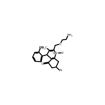 CCOC(=O)C1=C(COCCN)[NH+]([O-])C2=C(C(=O)CC(C(C)C)C2)C1c1ccccc1C#N